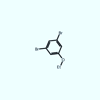 CCOc1cc(Br)cc(Br)c1